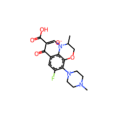 CC1COc2c(N3CCN(C)CC3)c(F)cc3c2[N+]1([O-])C=C(C(=O)O)C3=O